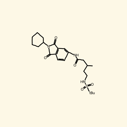 CC(CCNS(=O)(=O)C(C)(C)C)CC(=O)Nc1ccc2c(c1)C(=O)N(C1CCCCC1)C2=O